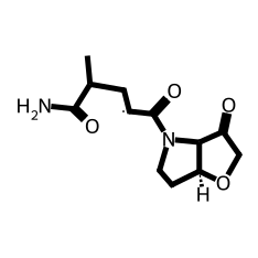 CC(C[CH]C(=O)N1CC[C@@H]2OCC(=O)C21)C(N)=O